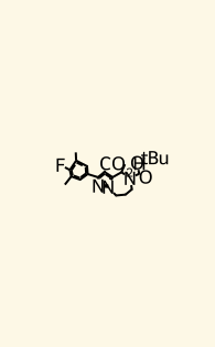 Cc1cc(-c2nn3c(c2C(=O)O)C(C)N(C(=O)OC(C)(C)C)CCC3)cc(C)c1F